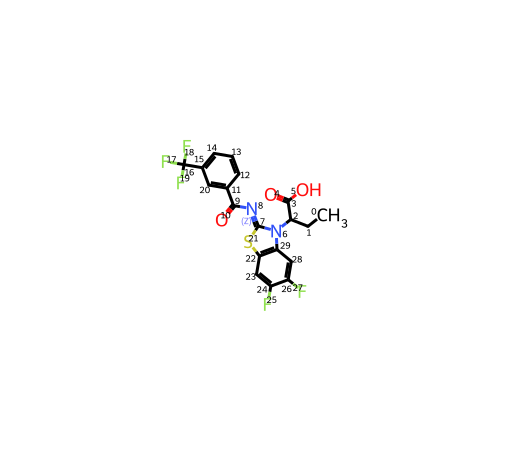 CCC(C(=O)O)n1/c(=N/C(=O)c2cccc(C(F)(F)F)c2)sc2cc(F)c(F)cc21